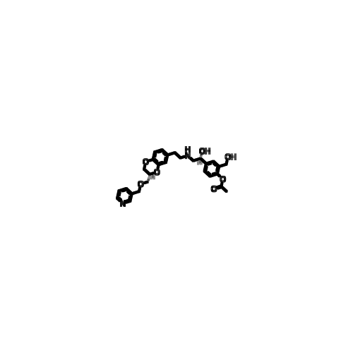 CC(=O)Oc1ccc([C@@H](O)CNCCc2ccc3c(c2)O[C@H](COCc2cccnc2)CO3)cc1CO